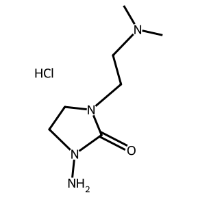 CN(C)CCN1CCN(N)C1=O.Cl